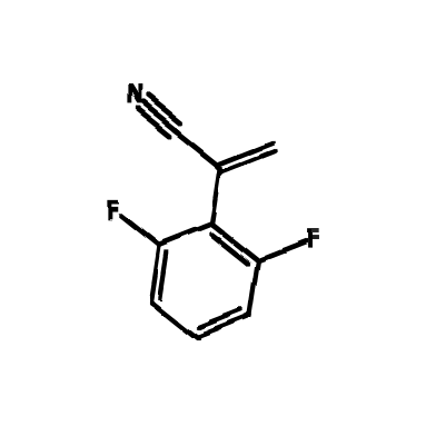 C=C(C#N)c1c(F)cccc1F